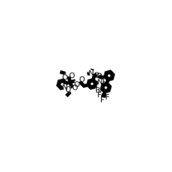 CCOC(=O)C(COC(=O)Cc1cc(Br)c(NC(=O)c2ccccc2-c2ccc(C(F)(F)F)cc2)c(C(=O)N(C)C)c1)(C(=O)OCC)c1ccccn1